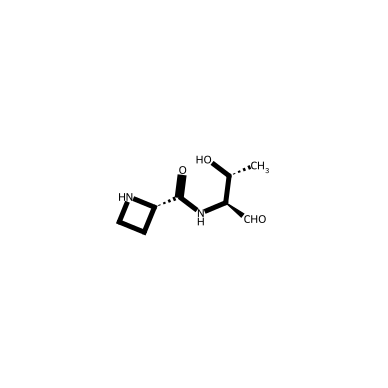 C[C@@H](O)[C@@H](C=O)NC(=O)[C@@H]1CCN1